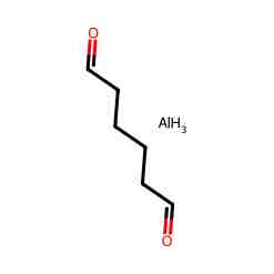 O=CCCCCC=O.[AlH3]